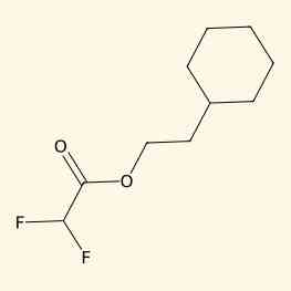 O=C(OCCC1CCCCC1)C(F)F